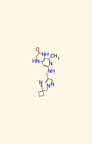 Cc1nc(NCc2cnn(CC3(C#N)CCC3)c2)cc2c1NC(=O)CN2